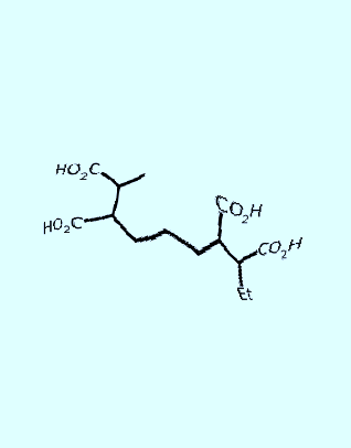 CCC(C(=O)O)C(CCCC(C(=O)O)C(C)C(=O)O)C(=O)O